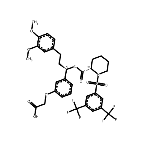 COc1ccc(CC[C@@H](OC(=O)[C@@H]2CCCCN2S(=O)(=O)c2cc(C(F)(F)F)cc(C(F)(F)F)c2)c2cccc(OCC(=O)O)c2)cc1OC